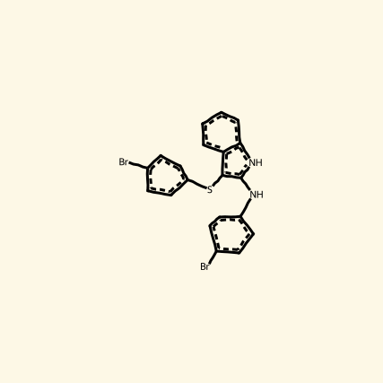 Brc1ccc(Nc2[nH]c3ccccc3c2Sc2ccc(Br)cc2)cc1